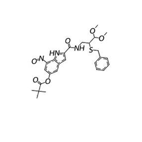 COC(OC)C(CNC(=O)c1cc2cc(OC(=O)C(C)(C)C)cc(N=O)c2[nH]1)SCc1ccccc1